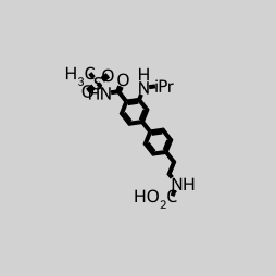 CC(C)Nc1cc(-c2ccc(CCNC(=O)O)cc2)ccc1C(=O)NS(C)(=O)=O